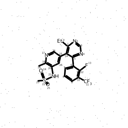 CCc1ncnc(-c2cccc(C(F)(F)F)c2F)c1-c1cnc(C)c(NS(C)(=O)=O)c1